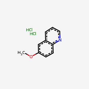 COc1ccc2ncccc2c1.Cl.Cl